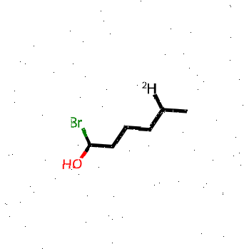 [2H]C(C)CCCC(O)Br